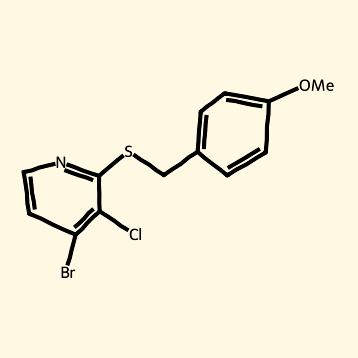 COc1ccc(CSc2nccc(Br)c2Cl)cc1